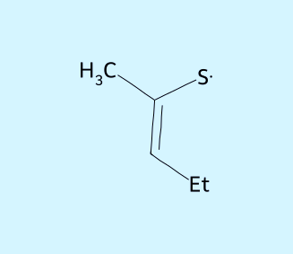 CCC=C(C)[S]